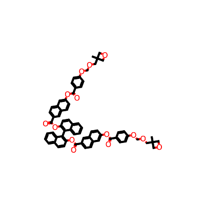 CC1(COCOc2ccc(C(=O)Oc3ccc4cc(C(=O)Oc5ccc6ccccc6c5-c5c(OC(=O)c6ccc7cc(OC(=O)c8ccc(OCOCC9(C)COC9)cc8)ccc7c6)ccc6ccccc56)ccc4c3)cc2)COC1